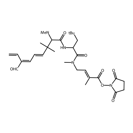 C=C/C(C=O)=C\C=C\C(C)(C)C(NC)C(=O)NC(CC(C)(C)C)C(=O)N(C)C/C=C(\C)C(=O)ON1C(=O)CCC1=O